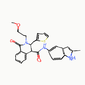 COCCN1C(=O)c2ccccc2C(C(=O)Nc2ccc3[nH]c(C)cc3c2)C1c1cccs1